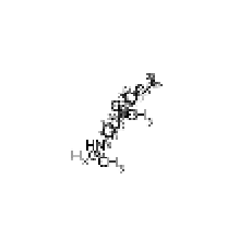 CC[C@H](C)NCc1ccc2c(c1)C[C@H](N(C)C(=O)c1ccc(OCC3CC3)cc1)C2